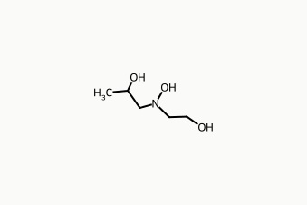 CC(O)CN(O)CCO